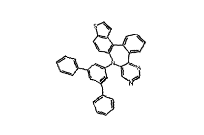 c1ccc(-c2cc(-c3ccccc3)cc(N3c4cncnc4-c4ccccc4-c4c3ccc3sccc43)c2)cc1